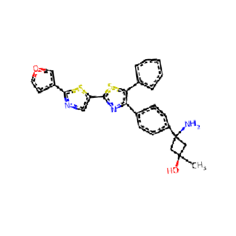 CC1(O)CC(N)(c2ccc(-c3nc(-c4cnc(-c5ccoc5)s4)sc3-c3ccccc3)cc2)C1